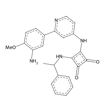 COc1ccc(-c2cc(Nc3c(NC(C)c4ccccc4)c(=O)c3=O)ccn2)cc1N